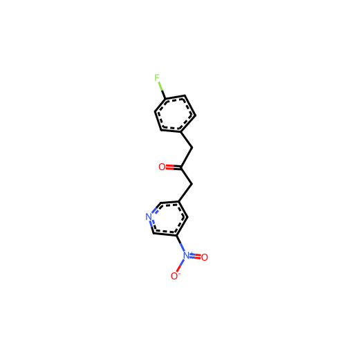 O=C(Cc1ccc(F)cc1)Cc1cncc([N+](=O)[O-])c1